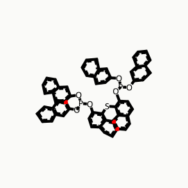 c1ccc2cc(OP(Oc3ccc4ccccc4c3)Oc3ccc4ccccc4c3Sc3c(OP(Oc4ccc5ccccc5c4)Oc4ccc5ccccc5c4)ccc4ccccc34)ccc2c1